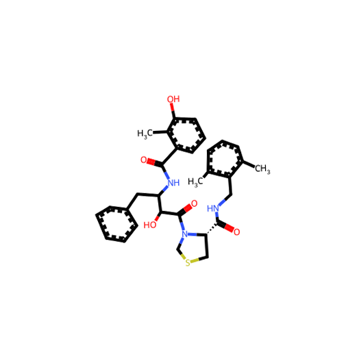 Cc1cccc(C)c1CNC(=O)[C@@H]1CSCN1C(=O)C(O)C(Cc1ccccc1)NC(=O)c1cccc(O)c1C